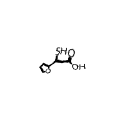 O=C(O)CC(S)c1ccco1